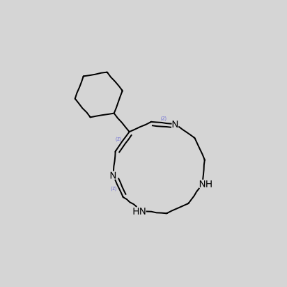 C1=N/C=C(C2CCCCC2)\C=N/CCNCCN\1